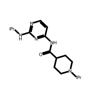 CC(C)Nc1nccc(NC(=O)C2CCN(C(C)C)CC2)n1